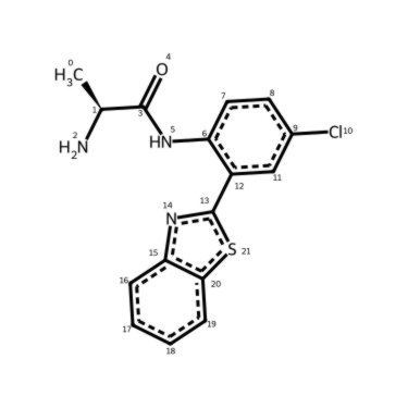 C[C@H](N)C(=O)Nc1ccc(Cl)cc1-c1nc2ccccc2s1